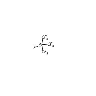 FC(F)(F)[Si](F)(C(F)(F)F)C(F)(F)F